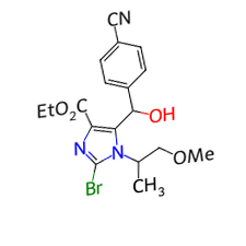 CCOC(=O)c1nc(Br)n(C(C)COC)c1C(O)c1ccc(C#N)cc1